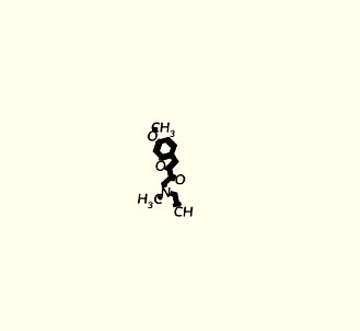 C#CCN(C)CC(=O)c1cc2ccc(OC)cc2o1